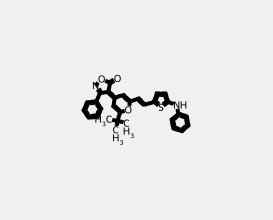 CC(C)(C)C1=C/C(=C2/C(=O)ON=C2c2ccccc2)C=C(C=Cc2ccc(Nc3ccccc3)s2)O1